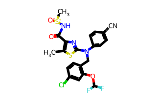 Cc1sc(N(Cc2ccc(Cl)cc2OC(F)F)c2ccc(C#N)cc2)nc1C(=O)N[S+](C)[O-]